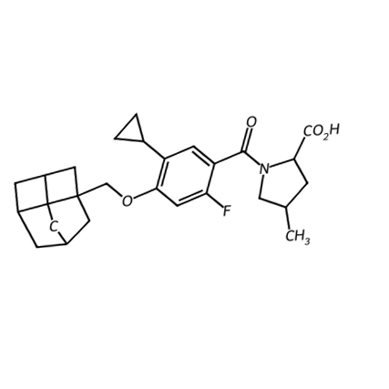 CC1CC(C(=O)O)N(C(=O)c2cc(C3CC3)c(OCC34CC5CC6CC(C3)C64C5)cc2F)C1